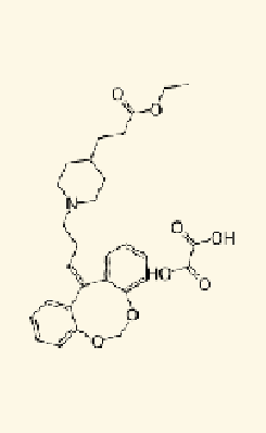 CCOC(=O)CCC1CCN(CCC=C2c3ccccc3OCOc3ccccc32)CC1.O=C(O)C(=O)O